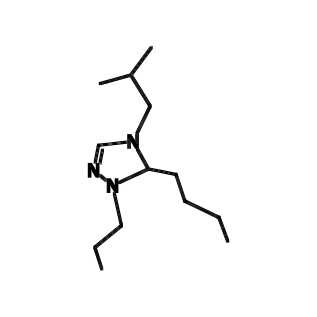 CCCCC1N(CC(C)C)C=NN1CCC